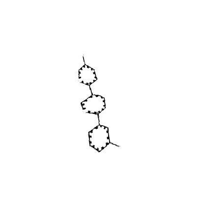 Fc1cccc(-c2ccc(-c3ccc(Br)cn3)cn2)c1